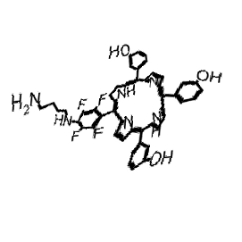 NCCCCNc1c(F)c(F)c(-c2c3nc(c(-c4cccc(O)c4)c4ccc([nH]4)c(-c4cccc(O)c4)c4nc(c(-c5cccc(O)c5)c5[nH]c2CC5)C=C4)C=C3)c(F)c1F